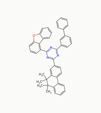 CC1(C)c2ccccc2-c2ccc(-c3nc(-c4cccc(-c5ccccc5)c4)nc(-c4cccc5oc6ccccc6c45)n3)cc2C1(C)C